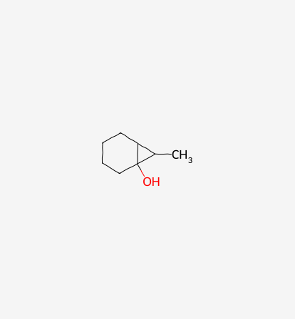 CC1C2CCCCC12O